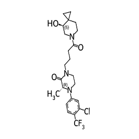 C[C@@H]1C(=O)N(CCCC(=O)N2CCC3(CC3)[C@H](O)C2)CCN1c1ccc(C(F)(F)F)c(Cl)c1